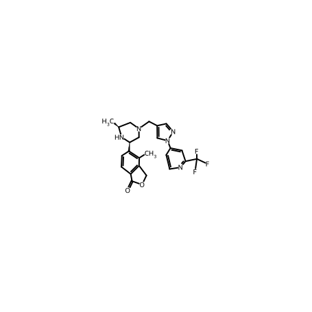 Cc1c([C@@H]2CN(Cc3cnn(-c4ccnc(C(F)(F)F)c4)c3)C[C@H](C)N2)ccc2c1COC2=O